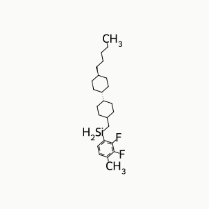 CCCCC[C@H]1CC[C@H](C2CCC(C[SiH2]c3ccc(C)c(F)c3F)CC2)CC1